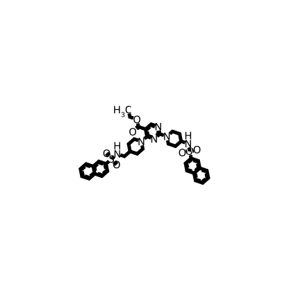 CCOC(=O)c1cnc(N2CCC(NS(=O)(=O)c3ccc4ccccc4c3)CC2)nc1N1CCC(CNS(=O)(=O)c2ccc3ccccc3c2)CC1